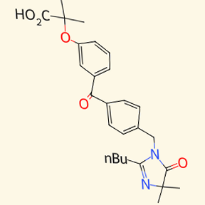 CCCCC1=NC(C)(C)C(=O)N1Cc1ccc(C(=O)c2cccc(OC(C)(C)C(=O)O)c2)cc1